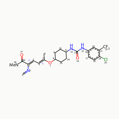 C=N/C(=C\C=C(/C)OC1CCC(NC(=O)Nc2ccc(Cl)c(C(F)(F)F)c2)CC1)C(=O)NC